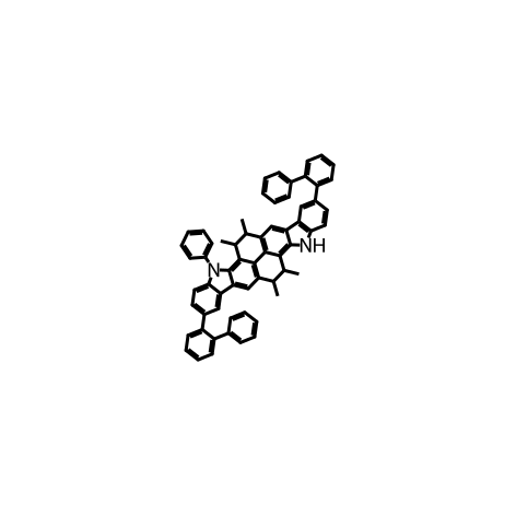 CC1c2cc3c4cc(-c5ccccc5-c5ccccc5)ccc4n(-c4ccccc4)c3c3c2-c2c(cc4c([nH]c5ccc(-c6ccccc6-c6ccccc6)cc54)c2C1C)C(C)C3C